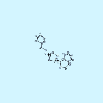 c1ccc(CCCN2CCN([C@@H]3CCCc4ccccc43)CC2)cc1